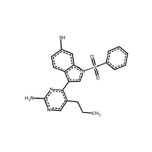 CCCc1cnc(N)nc1-c1cn(S(=O)(=O)c2ccccc2)c2cc(S)ccc12